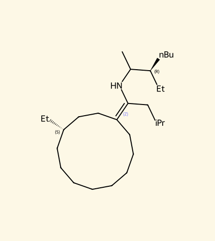 CCCC[C@@H](CC)C(C)N/C(CC(C)C)=C1/CCCCCCCC[C@H](CC)CC1